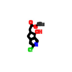 CC(C)(C)OC(=O)CC1Cc2cc(Cl)ncc2C1O